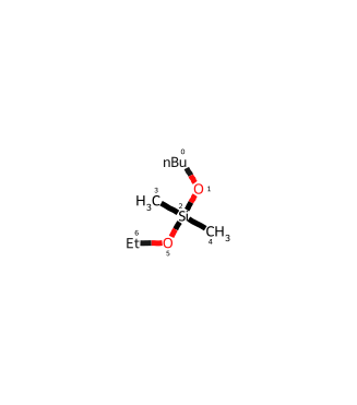 CCCCO[Si](C)(C)OCC